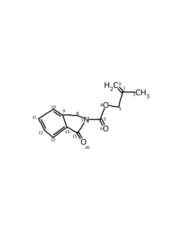 C=C(C)COC(=O)N1Cc2ccccc2C1=O